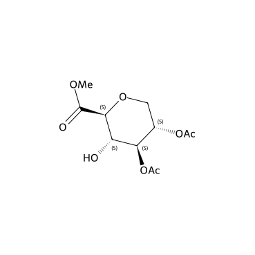 COC(=O)[C@H]1OC[C@H](OC(C)=O)[C@@H](OC(C)=O)[C@@H]1O